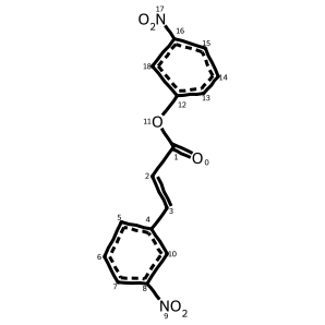 O=C(/C=C/c1cccc([N+](=O)[O-])c1)Oc1cccc([N+](=O)[O-])c1